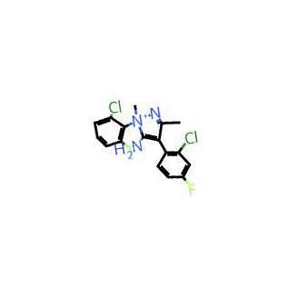 CC1=N[N+](C)(c2c(F)cccc2Cl)C(N)=C1c1ccc(F)cc1Cl